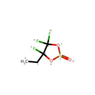 CCC1(F)OS(=O)OC1(F)F